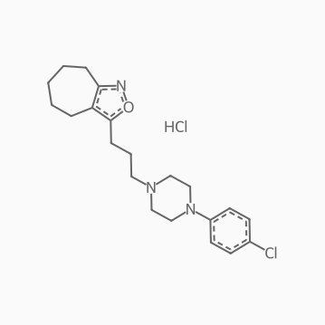 Cl.Clc1ccc(N2CCN(CCCc3onc4c3CCCCC4)CC2)cc1